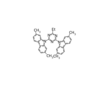 CCc1nc(-n2c3cc(C)ccc3c3ccc(C)cc32)nc(-n2c3cc(C)ccc3c3ccc(C)cc32)n1